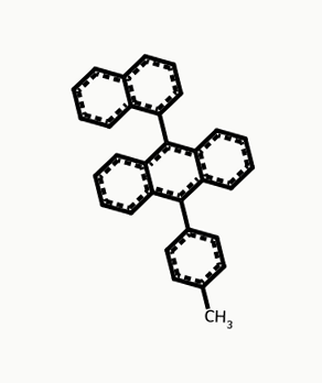 Cc1ccc(-c2c3ccccc3c(-c3cccc4ccccc34)c3ccccc23)cc1